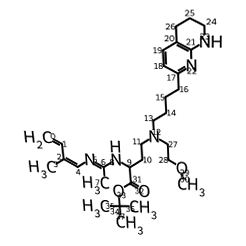 C=C/C(C)=C\N=C(/C)NC(CCN(CCCCc1ccc2c(n1)NCCC2)CCOC)C(=O)OC(C)(C)C